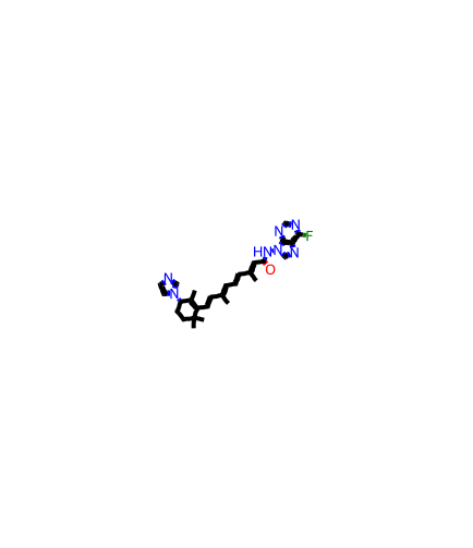 CC1=C(/C=C/C(C)=C/C=C/C(C)=C/C(=O)Nn2cnc3c(F)ncnc32)C(C)(C)CCC1n1ccnc1